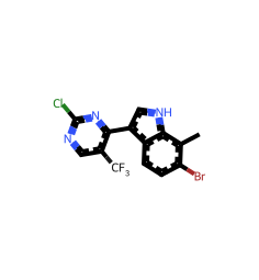 Cc1c(Br)ccc2c(-c3nc(Cl)ncc3C(F)(F)F)c[nH]c12